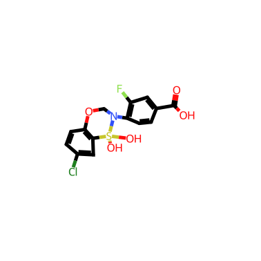 O=C(O)c1ccc(N2COc3ccc(Cl)cc3S2(O)O)c(F)c1